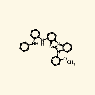 COc1ccccc1-n1c2ccccc2n2c3cccc(Nc4ccccc4Nc4ccccc4)c3nc12